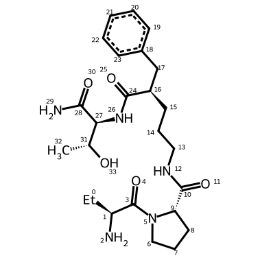 CC[C@H](N)C(=O)N1CCC[C@H]1C(=O)NCCC[C@H](Cc1ccccc1)C(=O)N[C@H](C(N)=O)[C@@H](C)O